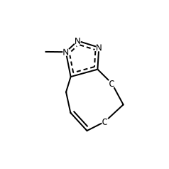 Cn1nnc2c1C/C=C\CCC2